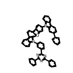 c1ccc(-c2ccc3c4ccccc4n(-c4ccc5c(c4)oc4c5ccc5c6ccccc6n(-c6cccc(-c7nc(-c8ccccc8)nc(-c8ccccc8)n7)c6)c54)c3c2)cc1